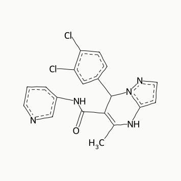 CC1=C(C(=O)Nc2cccnc2)C(c2ccc(Cl)c(Cl)c2)n2nccc2N1